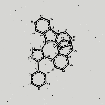 c1ccc(-c2nnc(-n3c4ccccc4c4ccccc43)n2-c2cccc3ccccc23)cc1